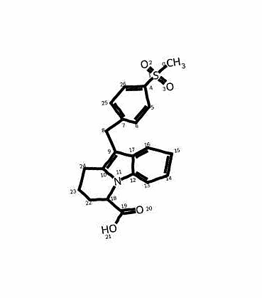 CS(=O)(=O)c1ccc(Cc2c3n(c4ccccc24)C(C(=O)O)CCC3)cc1